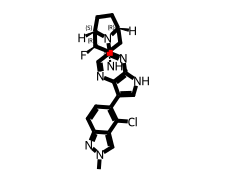 Cn1cc2c(Cl)c(-c3c[nH]c4nc(N5[C@@H]6CC[C@H]5[C@H](F)[C@@H](N)C6)cnc34)ccc2n1